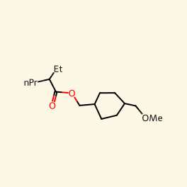 CCCC(CC)C(=O)OCC1CCC(COC)CC1